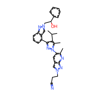 Cc1nc2nn(CCC#N)cc2cc1-n1nc(-c2cccc3nn(C[C@H](O)c4ccccc4)cc23)c(C(C)C)c1C